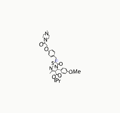 COc1ccc(C2C(C(=O)OC(C)C)=C(C)N=c3s/c(=C\c4ccc(OCC(=O)N5CCN(C)CC5)cc4)c(=O)n32)cc1